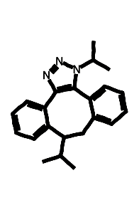 CC(C)C1Cc2ccccc2-c2c(nnn2C(C)C)-c2ccccc21